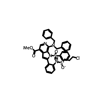 COC(=O)c1cnc(N(Cc2ccccc2)Cc2ccccc2)c2c1cc(-c1ccccc1N[S+]([O-])CCCCl)n2S(=O)(=O)c1ccccc1